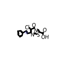 O=C(O)c1cn2c(=O)c(Cl)c(/C=C/c3ccccc3)nc2s1